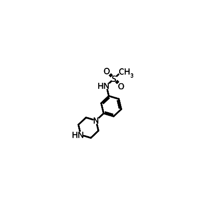 CS(=O)(=O)Nc1cccc(N2CCNCC2)c1